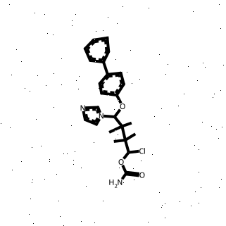 CC(C)(C(Cl)OC(N)=O)C(C)(C)C(Oc1ccc(-c2ccccc2)cc1)n1ccnc1